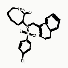 O=C1NCCCCC1N(Cc1cccc2ccccc12)S(=O)(=O)c1ccc(Cl)cc1